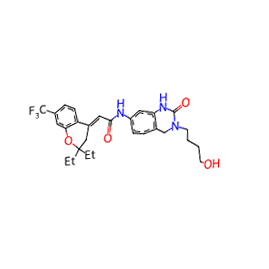 CCC1(CC)C/C(=C\C(=O)Nc2ccc3c(c2)NC(=O)N(CCCCO)C3)c2ccc(C(F)(F)F)cc2O1